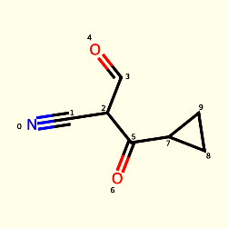 N#CC(C=O)C(=O)C1CC1